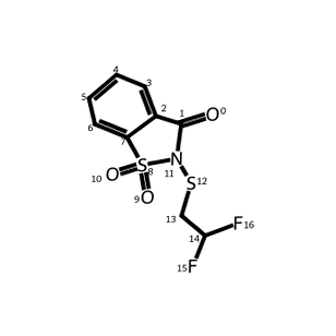 O=C1c2ccccc2S(=O)(=O)N1SCC(F)F